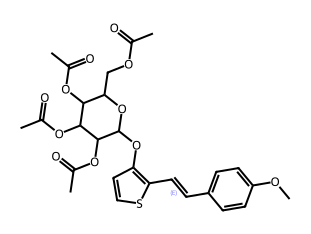 COc1ccc(/C=C/c2sccc2OC2OC(COC(C)=O)C(OC(C)=O)C(OC(C)=O)C2OC(C)=O)cc1